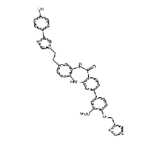 COc1cc(-c2ccc3c(c2)Nc2ccc(CCn4cnc(-c5ccc(C#N)cc5)c4)cc2NC3=O)ccc1OCc1cscn1